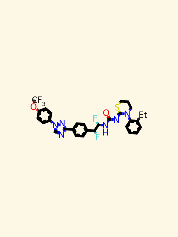 CCc1ccccc1N1CCCS/C1=N\C(=O)NC(F)C(F)c1ccc(-c2ncn(-c3ccc(OC(F)(F)F)cc3)n2)cc1